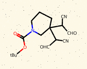 CC(C)(C)OC(=O)N1CCCC(C(C#N)C=O)(C(C#N)C=O)C1